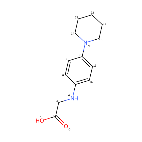 O=C(O)CNc1ccc(N2CCCCC2)cc1